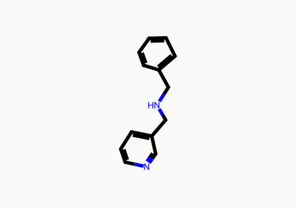 [c]1ccc(CNCc2cccnc2)cc1